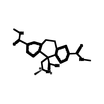 CNC(=O)c1ccc2c(c1)CCc1cc(C(=O)NC)ccc1C2(C[C@@H](C)N)C(=O)O